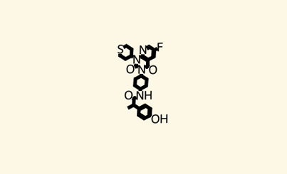 CC(C(=O)NC1CCC(n2c(=O)c3cc(F)cnc3n(C3CCSCC3)c2=O)CC1)c1ccc(O)cc1